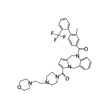 Cc1cc(C(=O)N2Cc3ccc(C(=O)N4CCN(CCN5CCOCC5)CC4)n3Cc3ccccc32)ccc1-c1ccccc1C(F)(F)F